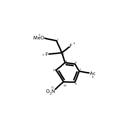 COCC(F)(F)c1cc(C(C)=O)cc([N+](=O)[O-])c1